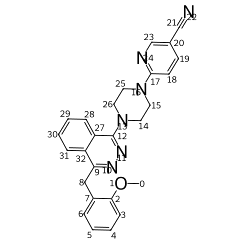 COc1ccccc1Cc1nnc(N2CCN(c3ccc(C#N)cn3)CC2)c2ccccc12